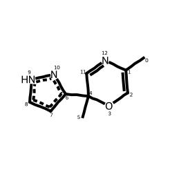 CC1=COC(C)(c2cc[nH]n2)C=N1